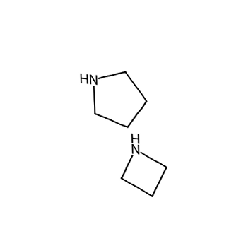 C1CCNC1.C1CNC1